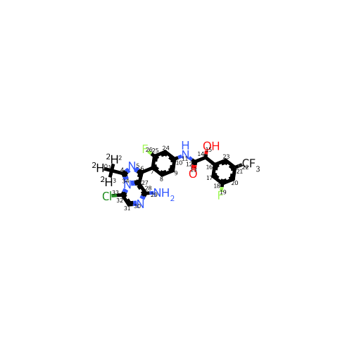 [2H]C([2H])([2H])c1nc(-c2ccc(NC(=O)C(O)c3cc(F)cc(C(F)(F)F)c3)cc2F)c2c(N)ncc(Cl)n12